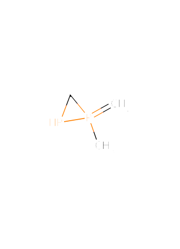 C=P1(C)CP1